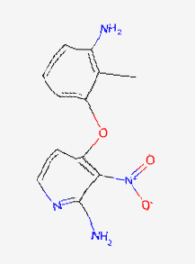 Cc1c(N)cccc1Oc1ccnc(N)c1[N+](=O)[O-]